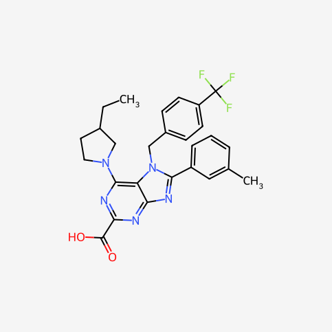 CCC1CCN(c2nc(C(=O)O)nc3nc(-c4cccc(C)c4)n(Cc4ccc(C(F)(F)F)cc4)c23)C1